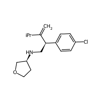 C=C(C(C)C)[C@H](CN[C@H]1CCOC1)c1ccc(Cl)cc1